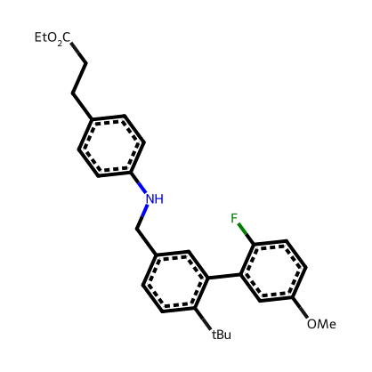 CCOC(=O)CCc1ccc(NCc2ccc(C(C)(C)C)c(-c3cc(OC)ccc3F)c2)cc1